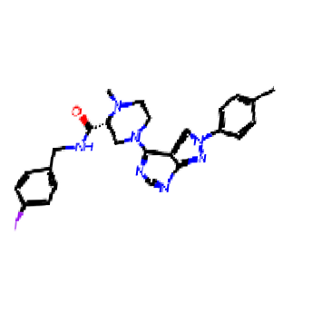 Cc1ccc(-n2cc3c(N4CCN(C)[C@@H](C(=O)NCc5ccc(I)cc5)C4)ncnc3n2)cc1